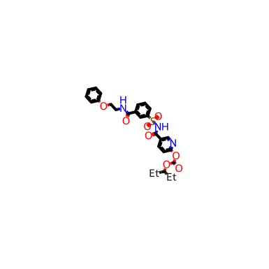 CCC(CC)OC(=O)Oc1ccc(C(=O)NS(=O)(=O)c2cccc(C(=O)NCCOc3ccccc3)c2)cn1